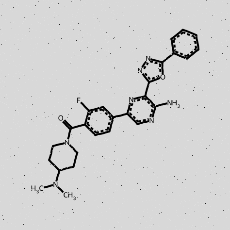 CN(C)C1CCN(C(=O)c2ccc(-c3cnc(N)c(-c4nnc(-c5ccccc5)o4)n3)cc2F)CC1